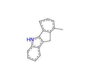 Cc1cccc2c1Cc1c-2[nH]c2ccccc12